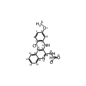 COc1ccc(Cl)c(Nc2nc3ccccc3nc2N[SH](=O)=O)c1